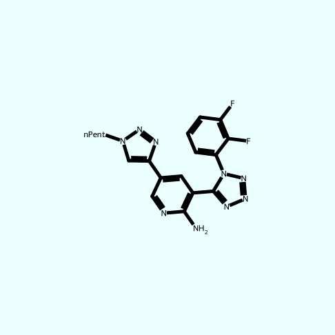 CCCCCn1cc(-c2cnc(N)c(-c3nnnn3-c3cccc(F)c3F)c2)nn1